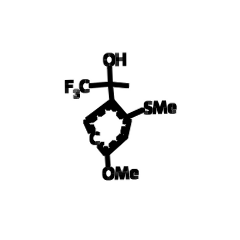 COc1ccc(C(C)(O)C(F)(F)F)c(SC)c1